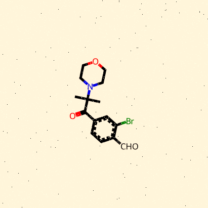 CC(C)(C(=O)c1ccc(C=O)c(Br)c1)N1CCOCC1